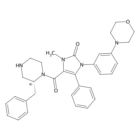 Cn1c(C(=O)N2CCNC[C@H]2Cc2ccccc2)c(-c2ccccc2)n(-c2cccc(N3CCOCC3)c2)c1=O